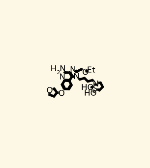 CCOCc1nc2c(N)nc3cc(OC4CCOC4)ccc3c2n1CCCCN1CCCS1(O)O